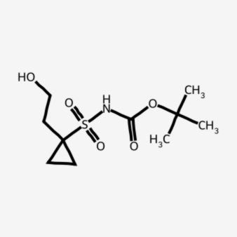 CC(C)(C)OC(=O)NS(=O)(=O)C1(CCO)CC1